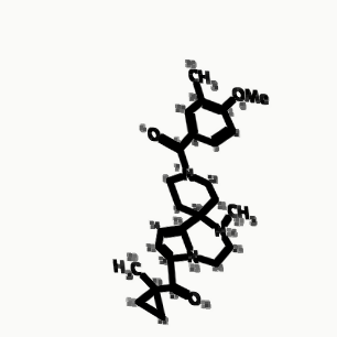 COc1ccc(C(=O)N2CCC3(CC2)c2ccc(C(=O)C4(C)CC4)n2CCN3C)cc1C